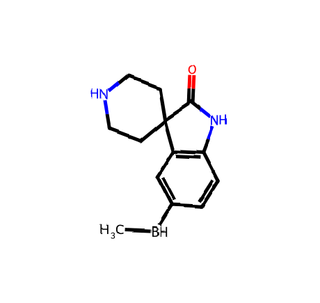 CBc1ccc2c(c1)C1(CCNCC1)C(=O)N2